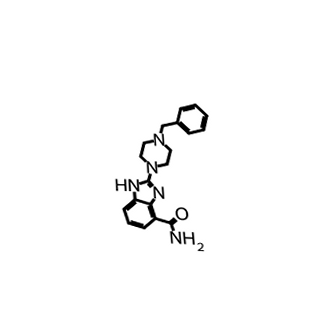 NC(=O)c1cccc2[nH]c(N3CCN(Cc4ccccc4)CC3)nc12